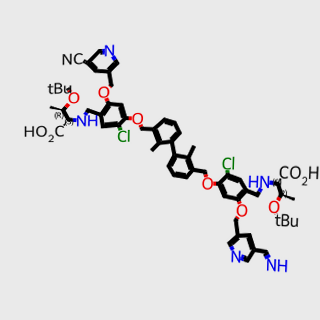 Cc1c(COc2cc(OCc3cncc(C#N)c3)c(CN[C@H](C(=O)O)[C@@H](C)OC(C)(C)C)cc2Cl)cccc1-c1cccc(COc2cc(OCc3cncc(C=N)c3)c(CN[C@H](C(=O)O)[C@@H](C)OC(C)(C)C)cc2Cl)c1C